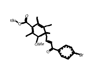 COC1C(C)=C(C(=O)OC(C)(C)C)C(C)=C(C)C1(C)C=CC(=O)c1ccc(Br)cc1